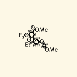 CC[C@@H](Oc1ccc(C(=O)OC)cc1C(F)(F)F)c1ccc(O[C@H]2C[C@H](OC)C2)cn1